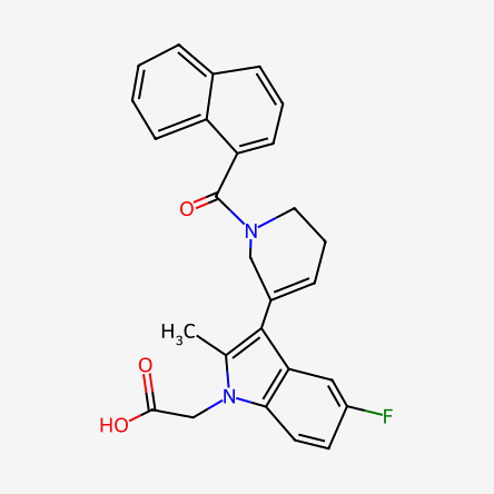 Cc1c(C2=CCCN(C(=O)c3cccc4ccccc34)C2)c2cc(F)ccc2n1CC(=O)O